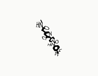 CCNC(=O)Cc1cnc(C2=CCN(C(=O)Nc3ccc(C(F)(F)F)cc3)CC2)c(Cl)c1